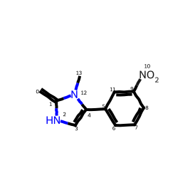 C=C1NC=C(c2cccc([N+](=O)[O-])c2)N1C